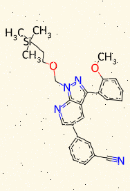 COc1ccccc1-c1nn(COCC[Si](C)(C)C)c2ncc(-c3cccc(C#N)c3)cc12